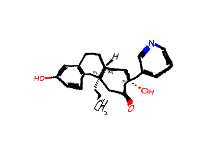 CC[C@@]12CC(=O)[C@](O)(c3cccnc3)C[C@H]1CCc1cc(O)ccc12